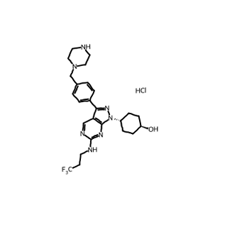 Cl.O[C@H]1CC[C@H](n2nc(-c3ccc(CN4CCNCC4)cc3)c3cnc(NCCC(F)(F)F)nc32)CC1